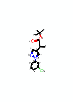 CC(C(=O)OC(C)(C)C)c1cnn(-c2cccc(Cl)c2)c1